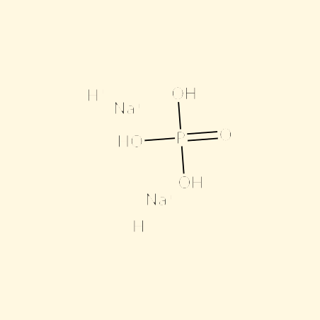 O=P(O)(O)O.[H+].[H+].[Na+].[Na+]